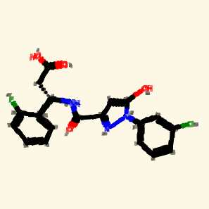 O=C(O)C[C@H](NC(=O)c1cc(O)n(-c2cccc(Cl)c2)n1)c1ccccc1F